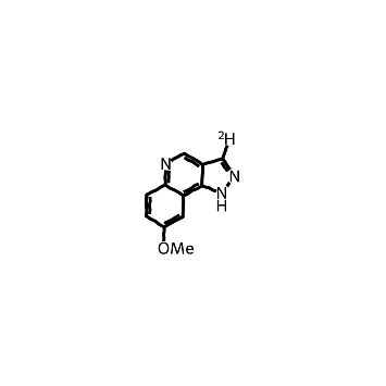 [2H]c1n[nH]c2c1cnc1ccc(OC)cc12